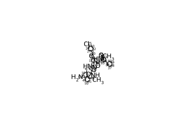 C[C@@H](NC(=O)C(=O)[C@H](CCCCN)NC(=O)[C@@H]1C[C@@H](OCc2ccc(Cl)cc2)CN1C(=O)[C@@H](CCc1ccccc1)NS(C)(=O)=O)c1ccccc1